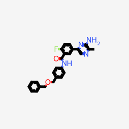 Cc1ncc(-c2ccc(F)c(C(=O)Nc3ccc(COCc4ccccc4)cc3)c2)nc1N